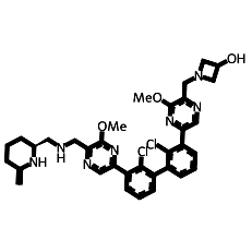 C=C1CCC[C@@H](CNCc2ncc(-c3cccc(-c4cccc(-c5cnc(CN6CC(O)C6)c(OC)n5)c4Cl)c3Cl)nc2OC)N1